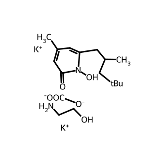 Cc1cc(CC(C)CC(C)(C)C)n(O)c(=O)c1.NCCO.O=C([O-])[O-].[K+].[K+]